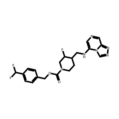 O=C(OCc1ccc(C(F)F)cc1)N1CCC(CNc2cncc3nncn23)C(F)C1